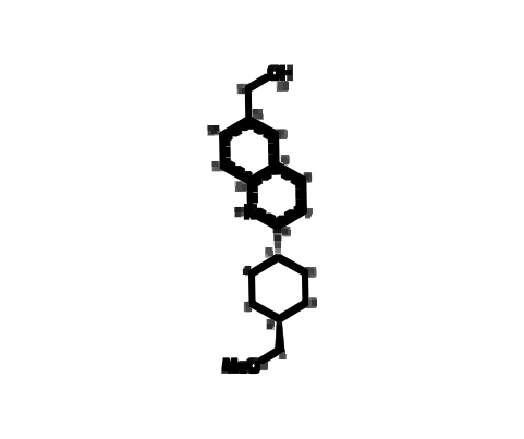 COC[C@H]1CC[C@H](c2ccc3cc(CO)ccc3n2)CC1